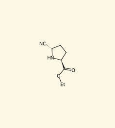 CCOC(=O)[C@@H]1CC[C@@H](C#N)N1